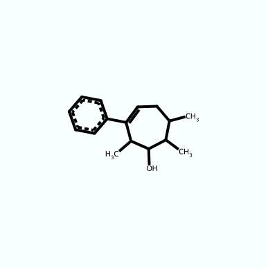 CC1CC=C(c2ccccc2)C(C)C(O)C1C